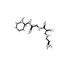 C=CCOCC(=C)C(=O)OCC(=O)OC1CCCCO1